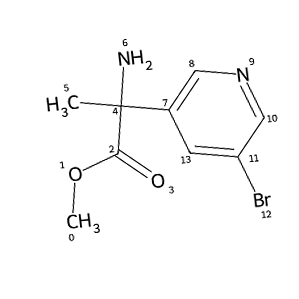 COC(=O)C(C)(N)c1cncc(Br)c1